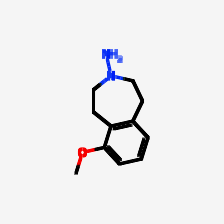 COc1cccc2c1CCN(N)CC2